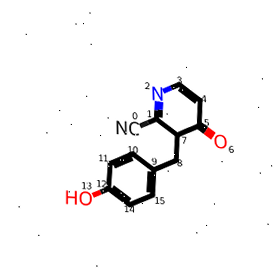 N#CC1=NC=CC(=O)C1Cc1ccc(O)cc1